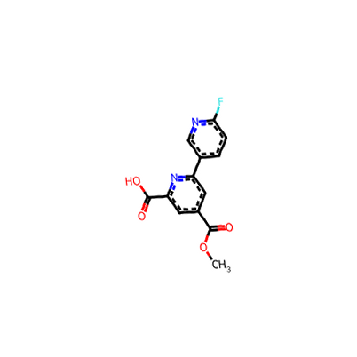 COC(=O)c1cc(C(=O)O)nc(-c2ccc(F)nc2)c1